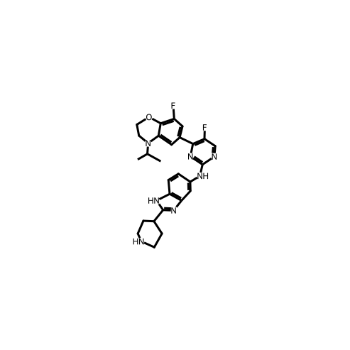 CC(C)N1CCOc2c(F)cc(-c3nc(Nc4ccc5[nH]c(C6CCNCC6)nc5c4)ncc3F)cc21